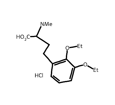 CCOc1cccc(CCC(NC)C(=O)O)c1OCC.Cl